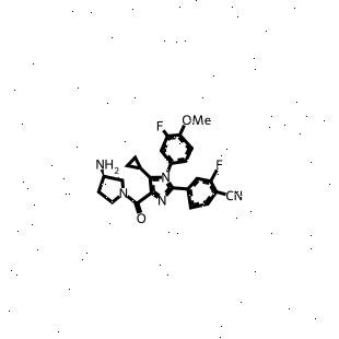 COc1ccc(-n2c(-c3ccc(C#N)c(F)c3)nc(C(=O)N3CC[C@@H](N)C3)c2C2CC2)cc1F